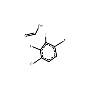 Fc1ccc(Cl)c(F)c1F.O=CO